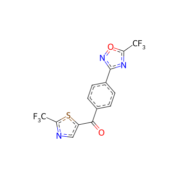 O=C(c1ccc(-c2noc(C(F)(F)F)n2)cc1)c1cnc(C(F)(F)F)s1